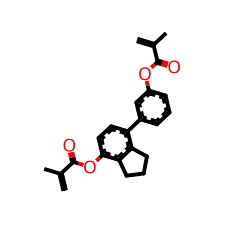 C=C(C)C(=O)Oc1cccc(-c2ccc(OC(=O)C(=C)C)c3c2CCC3)c1